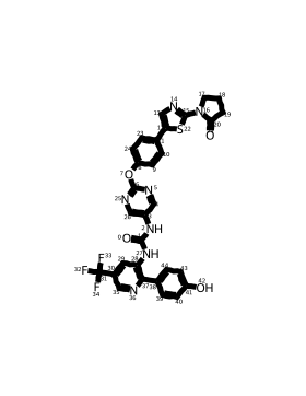 O=C(Nc1cnc(Oc2ccc(-c3cnc(N4CCCC4=O)s3)cc2)nc1)Nc1cc(C(F)(F)F)cnc1-c1ccc(O)cc1